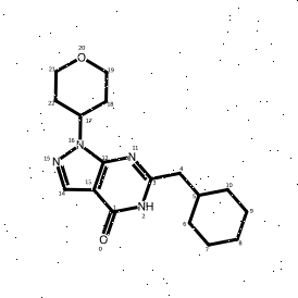 O=c1[nH]c(CC2CCCCC2)nc2c1cnn2C1CCOCC1